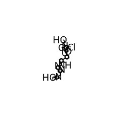 Cc1c(Nc2nccc3cc(CN4CC[C@@H](O)C4)cnc23)cccc1-c1cccc(-c2nc3c(=O)n(CCO)cc(Cl)c3o2)c1C